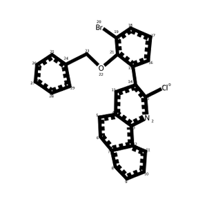 Clc1nc2c(ccc3ccccc32)cc1-c1cccc(Br)c1OCc1ccccc1